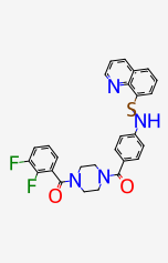 O=C(c1ccc(NSc2cccc3cccnc23)cc1)N1CCN(C(=O)c2cccc(F)c2F)CC1